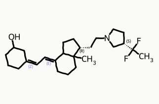 CC(F)(F)[C@H]1CCN(CC[C@H]2CCC3/C(=C/C=C4/CCCC(O)C4)CCCC32C)C1